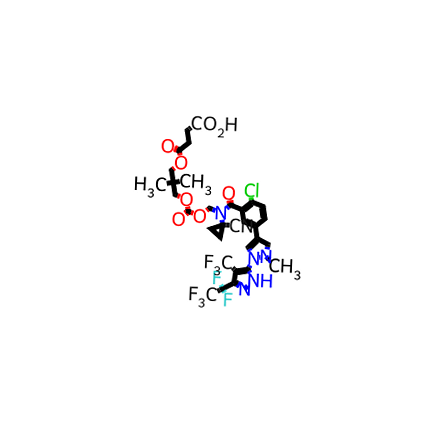 CN1CC(c2ccc(Cl)c(C(=O)N(COC(=O)OCC(C)(C)COC(=O)CCC(=O)O)C3(C#N)CC3)c2)=CN1c1[nH]nc(C(F)(F)C(F)(F)F)c1C(F)(F)F